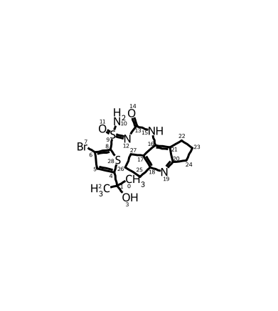 CC(C)(O)c1cc(Br)c(S(N)(=O)=NC(=O)Nc2c3c(nc4c2CCC4)CCC3)s1